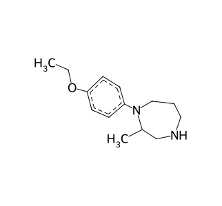 CCOc1ccc(N2CCCNCC2C)cc1